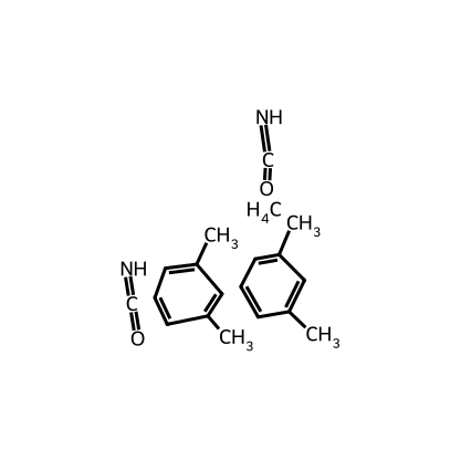 C.Cc1cccc(C)c1.Cc1cccc(C)c1.N=C=O.N=C=O